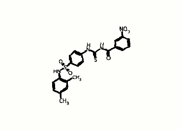 Cc1ccc(NS(=O)(=O)c2ccc(NC(=S)NC(=O)c3cccc([N+](=O)[O-])c3)cc2)c(C)c1